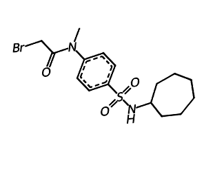 CN(C(=O)CBr)c1ccc(S(=O)(=O)NC2CCCCCC2)cc1